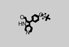 CC(C)(C)[Si](C)(C)Oc1ccc(-c2c(C=O)[nH]c3cnccc23)cc1